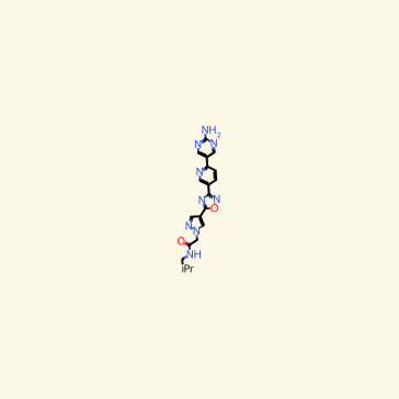 CC(C)CNC(=O)Cn1cc(-c2nc(-c3ccc(-c4cnc(N)nc4)nc3)no2)cn1